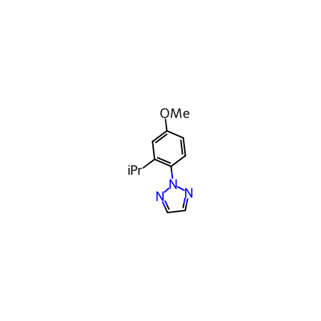 COc1ccc(-n2nccn2)c(C(C)C)c1